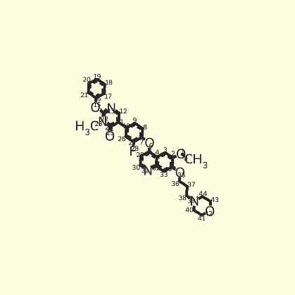 COc1cc2c(Oc3ccc(-c4cnc(Oc5ccccc5)n(C)c4=O)cc3F)ccnc2cc1OCCCN1CCOCC1